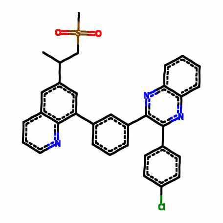 CC(CS(C)(=O)=O)c1cc(-c2cccc(-c3nc4ccccc4nc3-c3ccc(Cl)cc3)c2)c2ncccc2c1